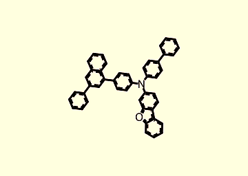 c1ccc(-c2ccc(N(c3ccc(-c4cc(-c5ccccc5)cc5ccccc45)cc3)c3ccc4c(c3)oc3ccccc34)cc2)cc1